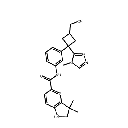 Cn1cnnc1C1(c2cccc(NC(=O)c3ccc4c(n3)C(C)(C)CN4)c2)CC(CC#N)C1